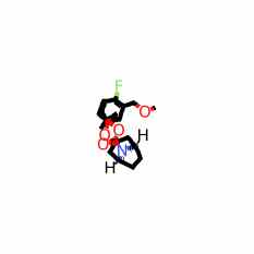 COCc1cc(O[C@H]2C[C@H]3CC[C@@H](C2)N3C(=O)OC(C)(C)C)ccc1F